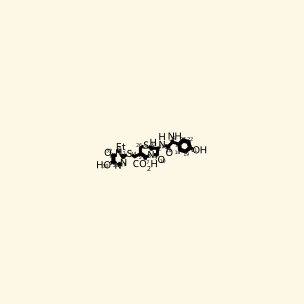 CCn1c(SCC2=C(C(=O)O)N3C(=O)C(NC(=O)C(N)c4ccc(O)cc4)[C@H]3SC2)nnc(O)c1=O